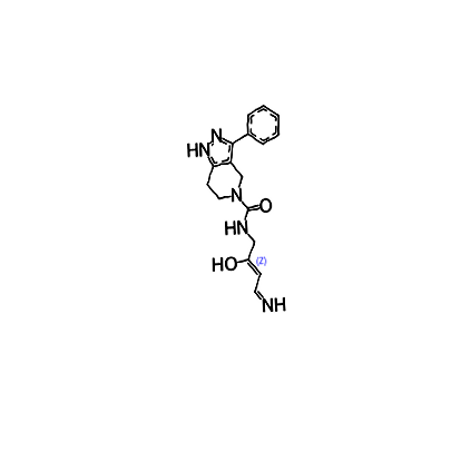 N=C/C=C(\O)CNC(=O)N1CCc2[nH]nc(-c3ccccc3)c2C1